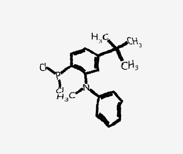 CN(c1ccccc1)c1cc(C(C)(C)C)ccc1P(Cl)Cl